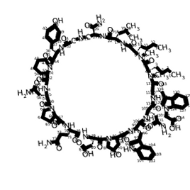 CCCC[C@H]1C(=O)N(C)[C@@H](CCCC)C(=O)N[C@@H](CC(C)C)C(=O)N[C@H](C(N)=O)CNCC(=O)N[C@@H](Cc2ccc(O)cc2)C(=O)N2CCCC[C@H]2C(=O)N[C@@H](CC(N)=O)C(=O)N2CCC[C@H]2C(=O)N[C@@H](CCC(N)=O)C(=O)N[C@@H](CC(=O)O)C(=O)N2C[C@H](O)C[C@H]2C(=O)N[C@@H](Cc2c[nH]c3ccccc23)C(=O)N[C@@H](CC(N)=O)C(=O)N[C@@H](Cc2cn(CC(=O)O)c3ccccc23)C(=O)N1C